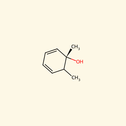 CC1C=CC=C[C@]1(C)O